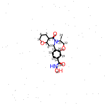 CC1OCCCC1C(=O)N1Cc2ccc(C(=O)NO)cc2OC[C@@H]1C